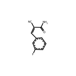 N#CC(=Cc1cccc(F)c1)C(N)=O